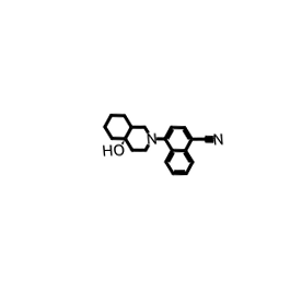 N#Cc1ccc(N2CC[C@@]3(O)CCCCC3C2)c2ccccc12